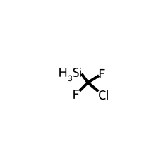 FC(F)([SiH3])Cl